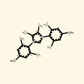 COc1cc(C)c(-n2c[n+](-c3c(C)cc(OC)cc3C)c(C)c2C)c(C)c1